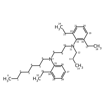 CCCCCCCN(CCCN(CCC)c1c(CC)cccc1CC)c1ccccc1CC